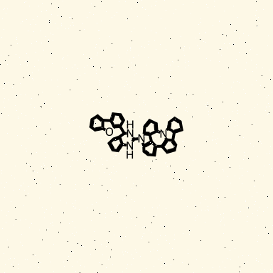 c1ccc2c(c1)NC(n1c3cccc4c5cccc6c7ccccc7n(c7cccc1c7c43)c56)NC2c1cccc2c1oc1ccccc12